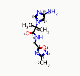 Cc1noc(CNC(=O)C(C)(C)n2cnc(N)c2)n1